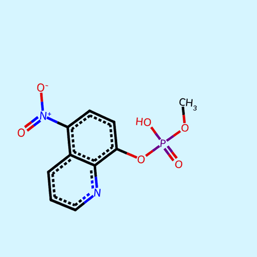 COP(=O)(O)Oc1ccc([N+](=O)[O-])c2cccnc12